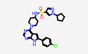 O=S(=O)(NC1CCN(c2ncnc3[nH]c(-c4ccc(Cl)cc4)cc23)CC1)c1cnn(C2CCCC2)c1